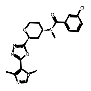 Cc1ncn(C)c1-c1nnc([C@@H]2C[C@H](N(C)C(=O)c3cccc(Cl)c3)CCO2)o1